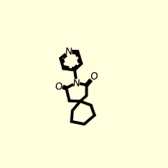 O=C1CC2(CCCCC2)CC(=O)N1c1ccncc1